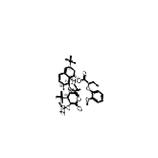 CCC(Oc1ccccc1OC)C(=O)O[C@H]1C[C@H](C(C)(C)C)C=C2C=C[C@H](C)[C@](CC[C@@H]3C[C@H](C(C)(C)C)C(O[SiH](C)C)C(=O)O3)(O[SiH](C)C)[C@H]21